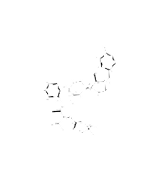 Cc1ccc(CN2CC[C@@H](N3CC[C@@H](c4ccccc4OC(=O)C(NC(=O)OC(C)(C)C)C(C)C)[C@H](F)C3)C2=O)cc1